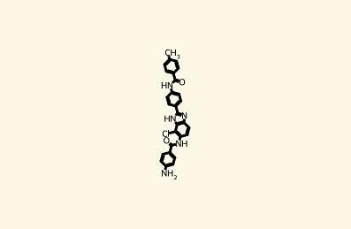 Cc1ccc(C(=O)Nc2ccc(-c3nc4ccc(NC(=O)c5ccc(N)cc5)c(Cl)c4[nH]3)cc2)cc1